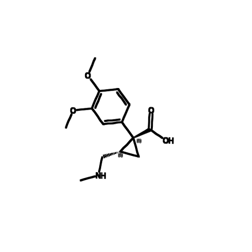 CNC[C@H]1C[C@@]1(C(=O)O)c1ccc(OC)c(OC)c1